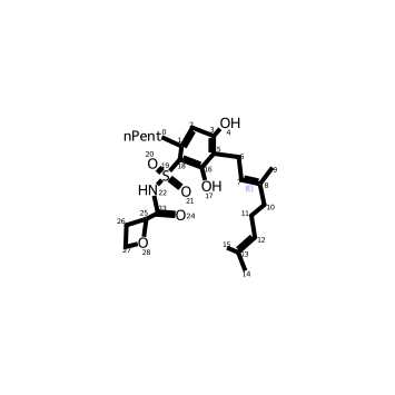 CCCCCc1cc(O)c(C/C=C(\C)CCC=C(C)C)c(O)c1S(=O)(=O)NC(=O)C1CCO1